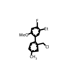 CCc1cc(-c2ccc(C)cc2CCl)c(OC)cc1F